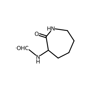 O=[C]NC1CCCCNC1=O